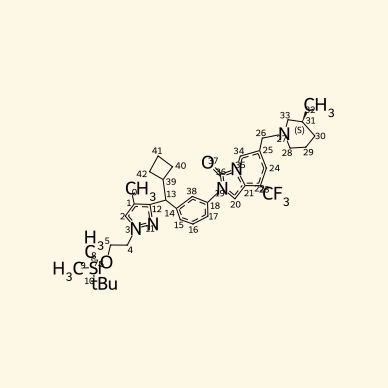 Cc1cn(CCO[Si](C)(C)C(C)(C)C)nc1C(c1cccc(-n2cc3c(C(F)(F)F)cc(CN4CCC[C@H](C)C4)cn3c2=O)c1)C1CCC1